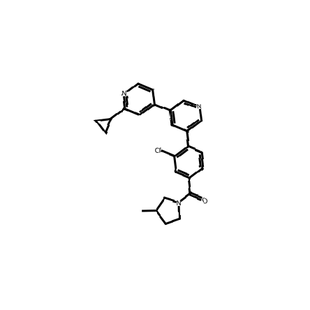 CC1CCN(C(=O)c2ccc(-c3cncc(-c4ccnc(C5CC5)c4)c3)c(Cl)c2)C1